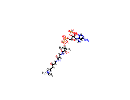 CC(C)(COP(=O)(O)OP(=O)(O)OCC1OC(n2cnc3c(N)ncnc32)C(O)C1OP(=O)(O)O)C(O)C(=O)NCCC(=O)NCCC(=O)CCC[N+](C)(C)C